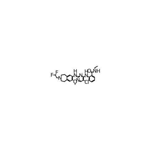 CCNC(=O)c1ccccc1Nc1nc(Nc2cc3c(cc2OC)CCN(CC(F)F)CC3)ncc1Cl